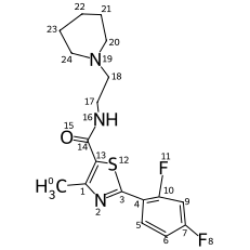 Cc1nc(-c2ccc(F)cc2F)sc1C(=O)NCCN1CCCCC1